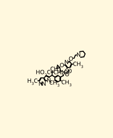 Cc1cc2cc(C(c3ccc(C)c(CN4CC5(CC5)Oc5nc(OCCN6CCCCC6)c(C)cc5S4(=O)=O)c3)C(C)(C)C(=O)O)n(C)c2nn1